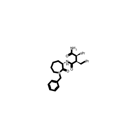 CCC[C@H](C(N)=O)[C@@H](CC(C)C)C(=O)N[C@H]1CCCCN(Cc2ccccc2)C1=O